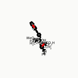 COC(=O)N[C@H](C(=O)N[C@@H](Cc1ccc(C#Cc2ccc(N3CC4CCC(C3)N4C3COC3)nc2)cc1)[C@@H](O)CN(Cc1ccc(-c2cnn(C(F)F)c2)cc1F)NC(=O)[C@@H](NC(=O)O)C(C)(C)C(F)(F)F)C(C)(C)C(F)(F)F